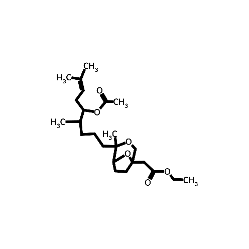 CCOC(=O)CC12CCC(O1)C(C)(CCCC(C)C(CC=C(C)C)OC(C)=O)OC2